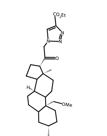 CCOC(=O)c1cn(CC(=O)[C@H]2CCC3[C@@H]4CCC5C[C@@H](C)CC[C@]5(COC)C4CC[C@@]32C)nn1